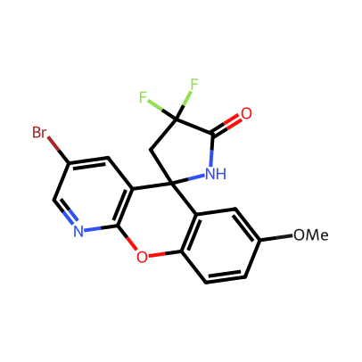 COc1ccc2c(c1)C1(CC(F)(F)C(=O)N1)c1cc(Br)cnc1O2